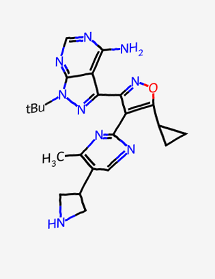 Cc1nc(-c2c(-c3nn(C(C)(C)C)c4ncnc(N)c34)noc2C2CC2)ncc1C1CNC1